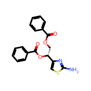 Nc1nc([C@@H](COC(=O)c2ccccc2)OC(=O)c2ccccc2)cs1